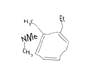 CCc1ccccc1C.CNC